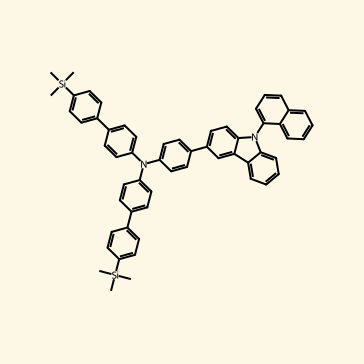 C[Si](C)(C)c1ccc(-c2ccc(N(c3ccc(-c4ccc([Si](C)(C)C)cc4)cc3)c3ccc(-c4ccc5c(c4)c4ccccc4n5-c4cccc5ccccc45)cc3)cc2)cc1